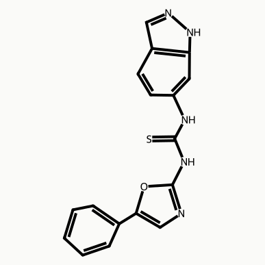 S=C(Nc1ccc2cn[nH]c2c1)Nc1ncc(-c2ccccc2)o1